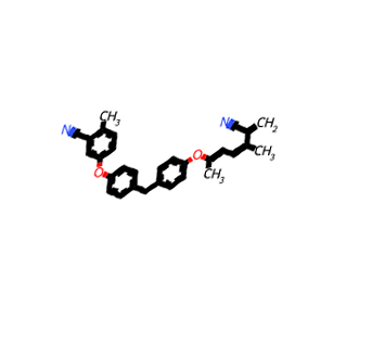 C=C(C#N)/C(C)=C\C=C(/C)Oc1ccc(Cc2ccc(Oc3ccc(C)c(C#N)c3)cc2)cc1